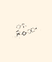 CN1CCN(C2CCCN(c3cnc(C(N)=O)c(Nc4ccc(N5CCC6(CCN(C(=O)O)CC6)CC5)cc4)n3)C2)C1=O